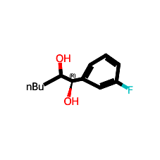 CCCCC(O)[C@H](O)c1cccc(F)c1